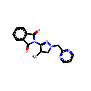 CC1CN(Cc2ncccn2)N=C1N1C(=O)c2ccccc2C1=O